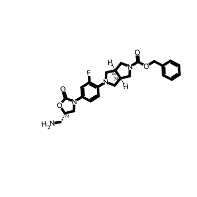 NC[C@H]1CN(c2ccc(N3C[C@H]4CN(C(=O)OCc5ccccc5)C[C@H]4C3)c(F)c2)C(=O)O1